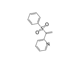 C=C(c1ccccn1)S(=O)(=O)c1ccccc1